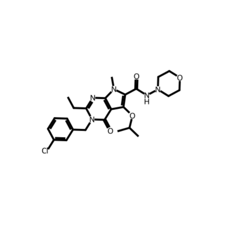 CCc1nc2c(c(OC(C)C)c(C(=O)NN3CCOCC3)n2C)c(=O)n1Cc1cccc(Cl)c1